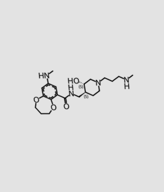 CNCCCN1CC[C@@H](CNC(=O)c2cc(NC)cc3c2OCCCO3)[C@H](O)C1